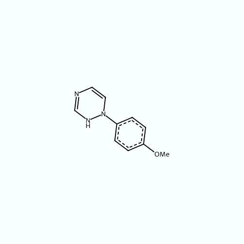 [CH2]Oc1ccc(N2C=CN=CN2)cc1